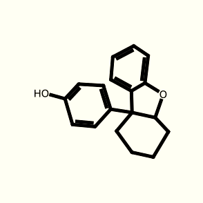 Oc1ccc(C23CCCCC2Oc2ccccc23)cc1